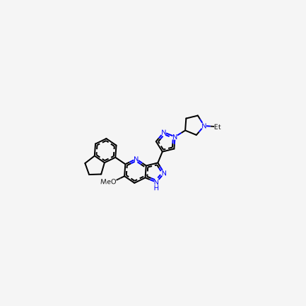 CCN1CCC(n2cc(-c3n[nH]c4cc(OC)c(-c5cccc6c5CCC6)nc34)cn2)C1